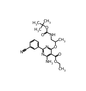 CCOC(=O)c1c(N)nc(-c2cccc(C#N)c2)nc1OC(C)CNC(=O)OC(C)(C)C